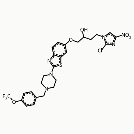 O=[N+]([O-])c1cn(CCC(O)COc2ccc3nc(N4CCN(Cc5ccc(OC(F)(F)F)cc5)CC4)sc3c2)c(Cl)n1